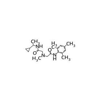 Cc1cc(C)c(NC(=O)CN(C)CC(=O)NC(C)C2CC2)c(C)c1